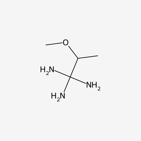 COC(C)C(N)(N)N